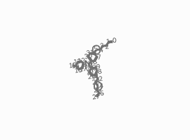 C=CCCCOc1ccc(N(c2ccc(C)cc2)c2ccc(CCOCC=C)cc2)cc1